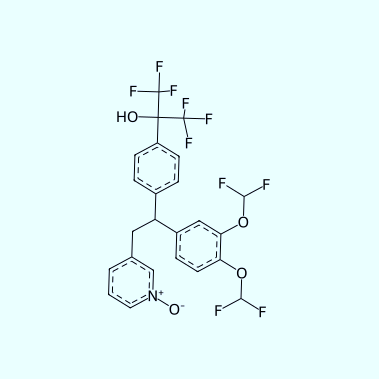 [O-][n+]1cccc(CC(c2ccc(C(O)(C(F)(F)F)C(F)(F)F)cc2)c2ccc(OC(F)F)c(OC(F)F)c2)c1